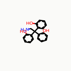 NCC(c1ccccc1O)(c1ccccc1O)c1ccccc1O